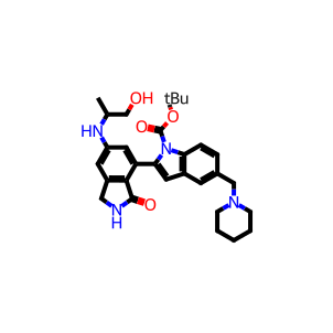 CC(CO)Nc1cc2c(c(-c3cc4cc(CN5CCCCC5)ccc4n3C(=O)OC(C)(C)C)c1)C(=O)NC2